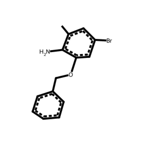 Cc1cc(Br)cc(OCc2ccccc2)c1N